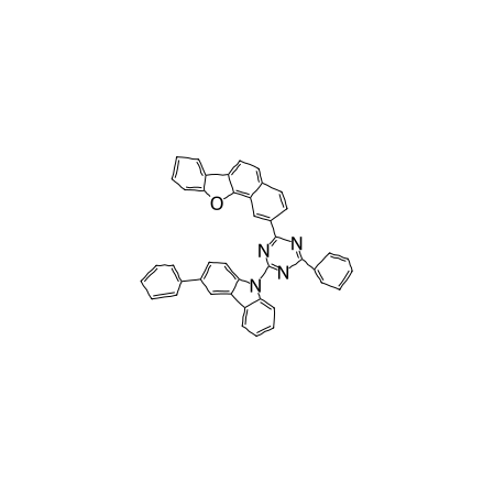 c1ccc(-c2ccc3c(c2)c2ccccc2n3-c2nc(-c3ccccc3)nc(-c3ccc4ccc5c6ccccc6oc5c4c3)n2)cc1